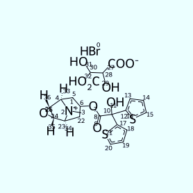 Br.C[N+]1(C)[C@@H]2CC(OC(=O)C(O)(c3cccs3)c3cccs3)C[C@H]1[C@@H]1O[C@@H]12.O=C([O-])C(O)C(O)C(=O)O